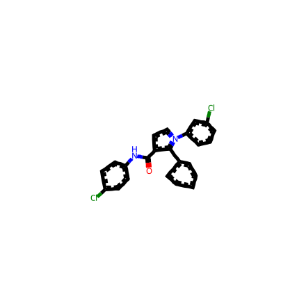 O=C(Nc1ccc(Cl)cc1)c1ccn(-c2cccc(Cl)c2)c1-c1ccccc1